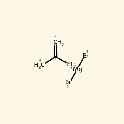 [Br][Mg][Br].[CH2]CC(=C)C